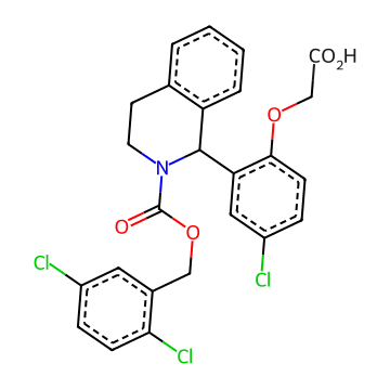 O=C(O)COc1ccc(Cl)cc1C1c2ccccc2CCN1C(=O)OCc1cc(Cl)ccc1Cl